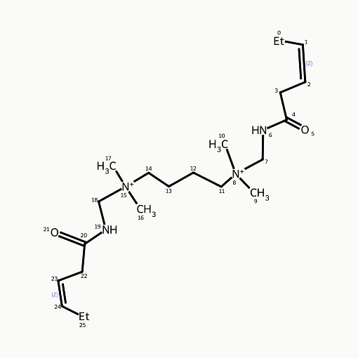 CC/C=C\CC(=O)NC[N+](C)(C)CCCC[N+](C)(C)CNC(=O)C/C=C\CC